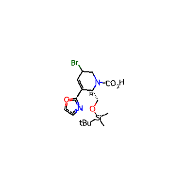 CC(C)(C)[Si](C)(C)OC[C@@H]1C(c2ncco2)=CC(Br)CN1C(=O)O